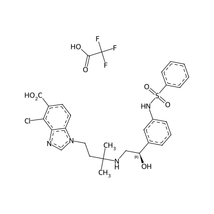 CC(C)(CCn1cnc2c(Cl)c(C(=O)O)ccc21)NC[C@H](O)c1cccc(NS(=O)(=O)c2ccccc2)c1.O=C(O)C(F)(F)F